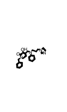 O=c1c(O)c(CN(CCCn2ccnc2)c2ccccc2)ccn1Cc1ccccc1